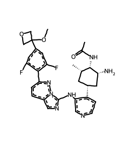 COC1(c2cc(F)c(-c3ccc4cnc(Nc5cnccc5[C@H]5C[C@@H](N)[C@@H](NC(C)=O)[C@@H](C)C5)n4n3)c(F)c2)COC1